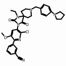 CCN1C(=O)N(c2cc(OC)c(-c3cccc(C#N)c3)nc2Cl)C(=O)C12CCN(Cc1ccc(N3CCCC3)cc1)CC2